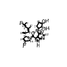 C=C(/C=C(F)\C=C(/C)F)[C@H]1C[C@H](F)CN1C(=O)c1n[nH]c2ncnc(N[C@@H]3CC[C@@H](O)[C@H]3O)c12